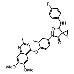 COc1cc2nc(C)nc(OC3=CC=C(NC(=O)C4(C(=O)Nc5ccc(F)cc5)CC4)CC3C)c2cc1OC